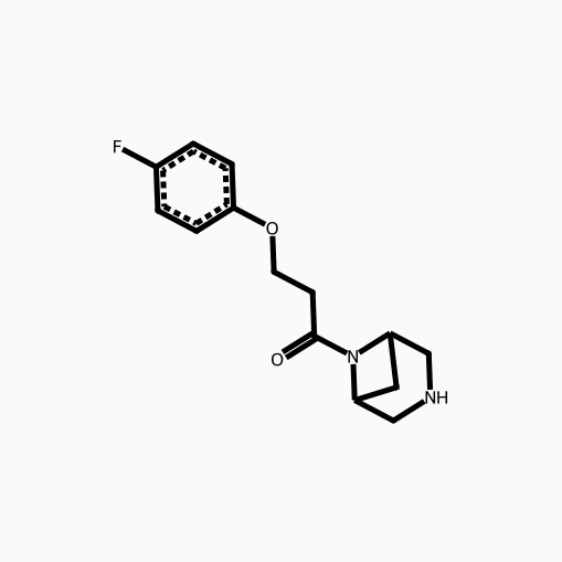 O=C(CCOc1ccc(F)cc1)N1C2CNCC1C2